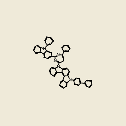 C1=C(c2ccccc2)N=C(c2ccc3c4ccccc4n(-c4ccccc4)c3c2)N=C(n2c3ccccc3c3c4c5ccccc5n(-c5ccc(-c6ccccc6)cc5)c4ccc32)C1